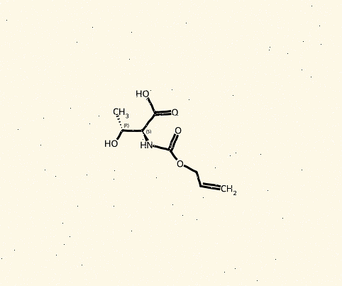 C=CCOC(=O)N[C@H](C(=O)O)[C@@H](C)O